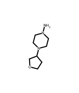 NN1CCN(C2CCOC2)CC1